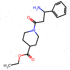 CCOC(=O)C1CCN(C(=O)CC(N)c2ccccc2)CC1